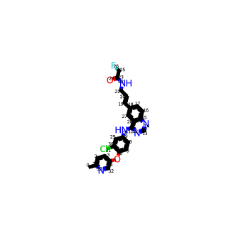 Cc1ccc(Oc2ccc(Nc3ncnc4ccc(/C=C/CNC(=O)CF)cc34)cc2Cl)cn1